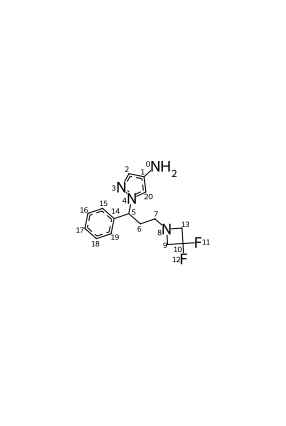 Nc1cnn(C(CCN2CC(F)(F)C2)c2ccccc2)c1